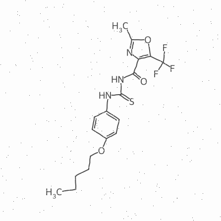 CCCCCOc1ccc(NC(=S)NC(=O)c2nc(C)oc2C(F)(F)F)cc1